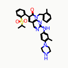 Cc1ccccc1Cn1c(=O)c(-c2ccccc2S(=O)(=O)C(C)C)cc2cnc(Nc3ccc(N4CCNCC4)c(C)c3)nc21